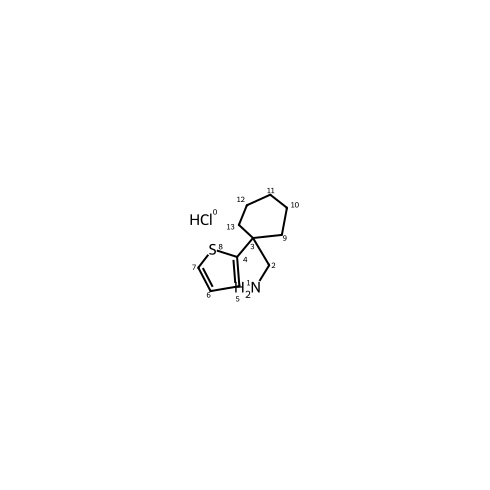 Cl.NCC1(c2cccs2)CCCCC1